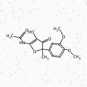 COc1ccc(C2(C)OC(NC(C)=O)=C(O)C2=O)cc1OC